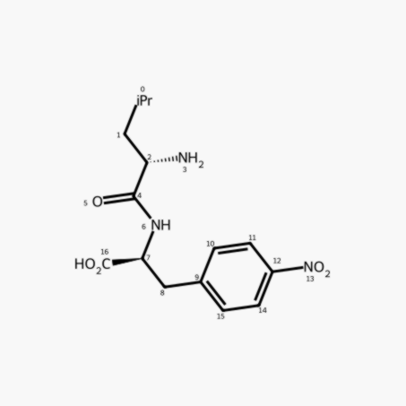 CC(C)C[C@H](N)C(=O)N[C@@H](Cc1ccc([N+](=O)[O-])cc1)C(=O)O